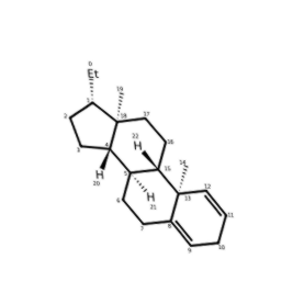 CC[C@H]1CC[C@H]2[C@@H]3CCC4=CCC=C[C@]4(C)[C@H]3CC[C@]12C